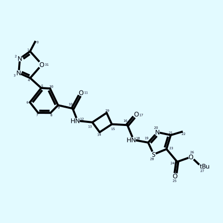 Cc1nnc(-c2cccc(C(=O)NC3CC(C(=O)Nc4nc(C)c(C(=O)OC(C)(C)C)s4)C3)c2)o1